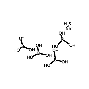 OB(O)O.OB(O)O.OB(O)O.S.[Na+].[O-]B(O)O